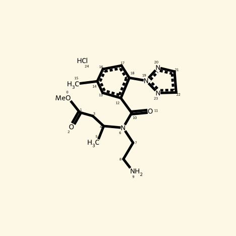 COC(=O)CC(C)N(CCN)C(=O)c1cc(C)ccc1-n1nccn1.Cl